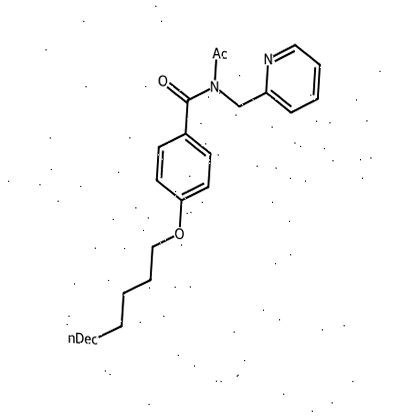 CCCCCCCCCCCCCCOc1ccc(C(=O)N(Cc2ccccn2)C(C)=O)cc1